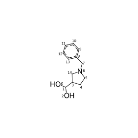 OC(O)C1CCN(Cc2ccccc2)C1